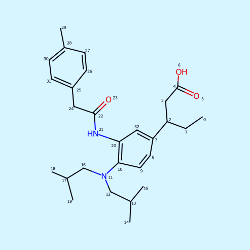 CCC(CC(=O)O)c1ccc(N(CC(C)C)CC(C)C)c(NC(=O)Cc2ccc(C)cc2)c1